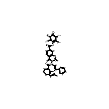 Cc1cc2c3n1C(c1ccccc1)=CN(n1c(C)nc4cc(C(=O)Oc5c(F)c(F)c(F)c(F)c5F)ccc4c1=O)C(=O)C3=CCC2